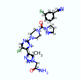 Cc1c(-c2nc(N3CCN(C(=O)N4N=CC[C@H]4c4cc(F)cc(C#N)c4)CC3)ncc2F)nnn1CC(N)=O